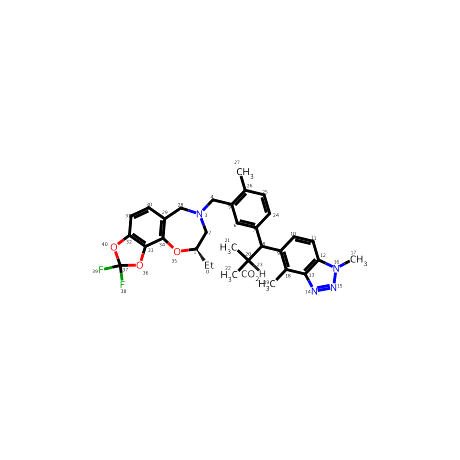 CC[C@@H]1CN(Cc2cc(C(c3ccc4c(nnn4C)c3C)C(C)(C)C(=O)O)ccc2C)Cc2ccc3c(c2O1)OC(F)(F)O3